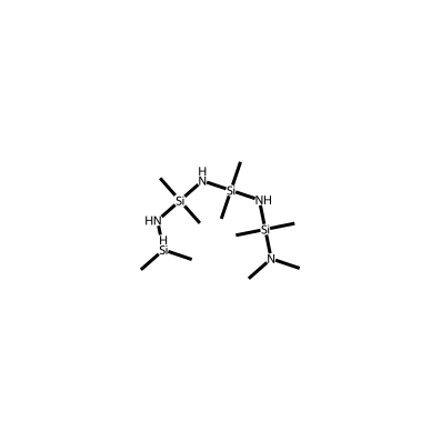 CN(C)[Si](C)(C)N[Si](C)(C)N[Si](C)(C)N[SiH](C)C